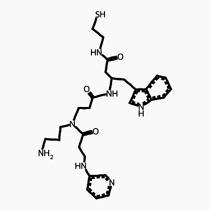 NCCCN(CCC(=O)NC(CC(=O)NCCS)Cc1c[nH]c2ccccc12)C(=O)CCNc1cccnc1